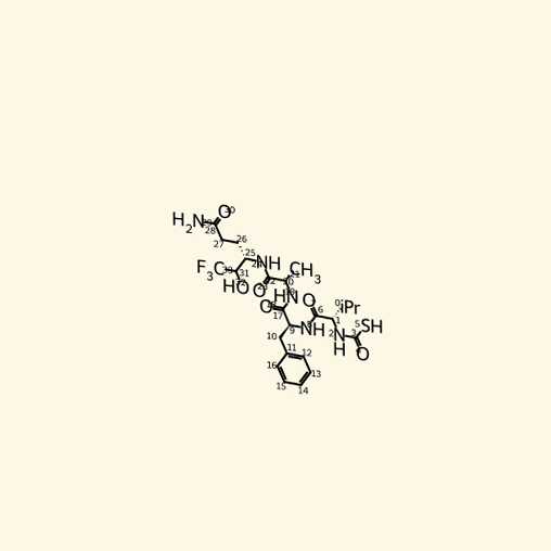 CC(C)[C@H](NC(=O)S)C(=O)N[C@@H](Cc1ccccc1)C(=O)N[C@H](C)C(=O)N[C@@H](CCC(N)=O)C(O)C(F)(F)F